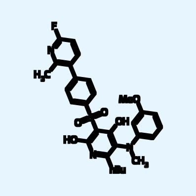 CCCCc1nc(O)c(S(=O)(=O)c2ccc(-c3ccc(F)nc3C)cc2)c(O)c1N(C)c1cccc(OC)c1